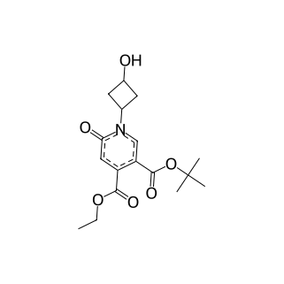 CCOC(=O)c1cc(=O)n(C2CC(O)C2)cc1C(=O)OC(C)(C)C